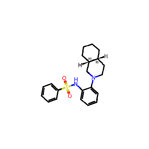 O=S(=O)(Nc1ccccc1N1CC[C@H]2CCCC[C@H]2C1)c1ccccc1